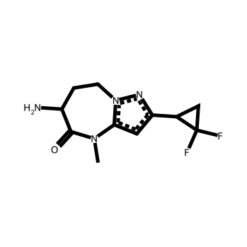 CN1C(=O)C(N)CCn2nc(C3CC3(F)F)cc21